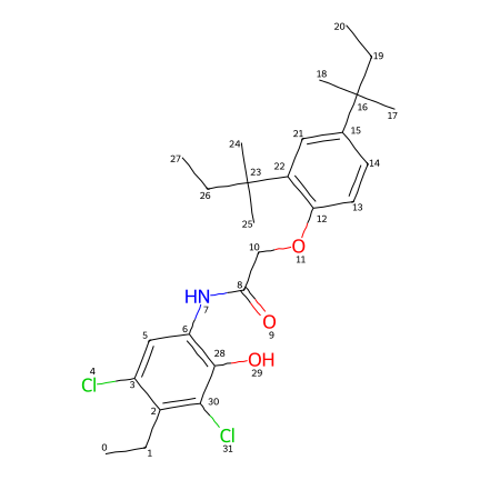 CCc1c(Cl)cc(NC(=O)COc2ccc(C(C)(C)CC)cc2C(C)(C)CC)c(O)c1Cl